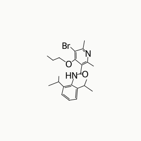 CCCOc1c(Br)c(C)nc(C)c1C(=O)Nc1c(C(C)C)cccc1C(C)C